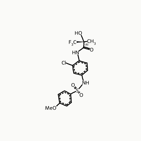 COc1ccc(S(=O)(=O)Nc2ccc(NC(=O)[C@@](C)(O)C(F)(F)F)c(Cl)c2)cc1